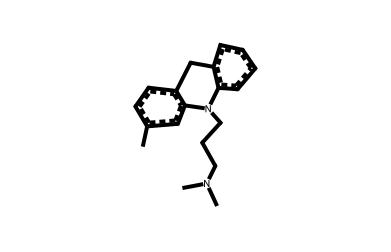 Cc1ccc2c(c1)N(CCCN(C)C)c1ccccc1C2